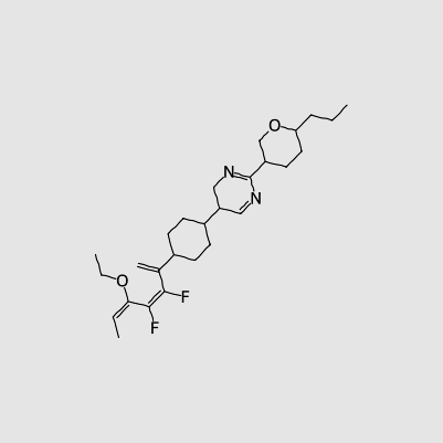 C=C(/C(F)=C(F)\C(=C/C)OCC)C1CCC(C2C=NC(C3CCC(CCC)OC3)=NC2)CC1